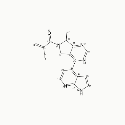 C=C(F)C(=O)N1Cc2c(-c3ccnc4[nH]ccc34)ncnc2C1C